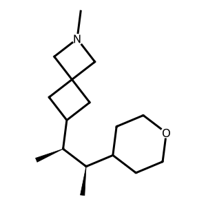 C[C@H](C1CCOCC1)[C@@H](C)C1CC2(C1)CN(C)C2